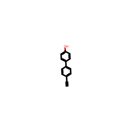 C#Cc1ccc(-c2ccc(O)cc2)cc1